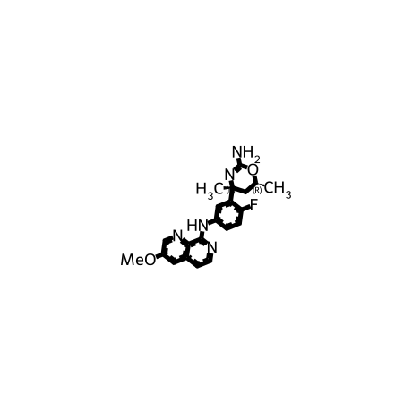 COc1cnc2c(Nc3ccc(F)c([C@@]4(C)C[C@@H](C)OC(N)=N4)c3)nccc2c1